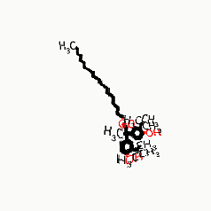 CCCCCCCCCCCCCCCCCCOC(=O)C(C)(c1ccc(O)c(C(C)(C)C)c1)c1ccc(O)c(C(C)(C)C)c1